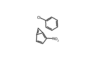 Clc1ccccc1.O=[N+]([O-])c1ccc2cc1-2